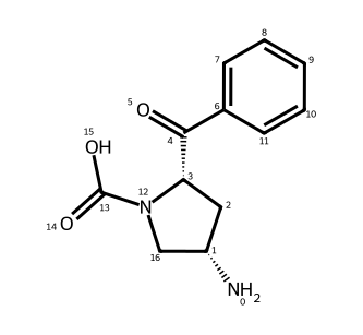 N[C@H]1C[C@@H](C(=O)c2ccccc2)N(C(=O)O)C1